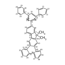 CC1(C)c2cc(-c3nc(-c4ccccc4)cc(-c4ccccc4)n3)ccc2-c2cc3c4ccccc4c4ccccc4c3cc21